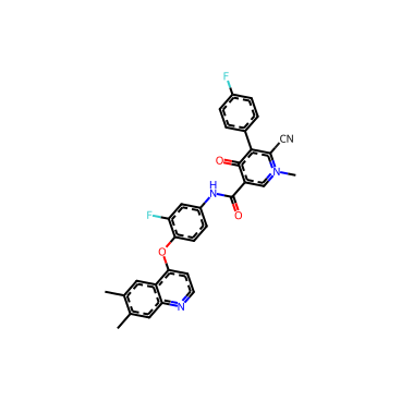 Cc1cc2nccc(Oc3ccc(NC(=O)c4cn(C)c(C#N)c(-c5ccc(F)cc5)c4=O)cc3F)c2cc1C